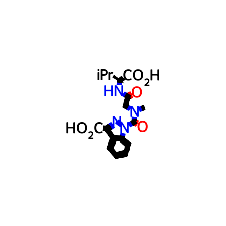 CC(C)[C@H](NC(=O)CN(C)C(=O)n1nc(C(=O)O)c2ccccc21)C(=O)O